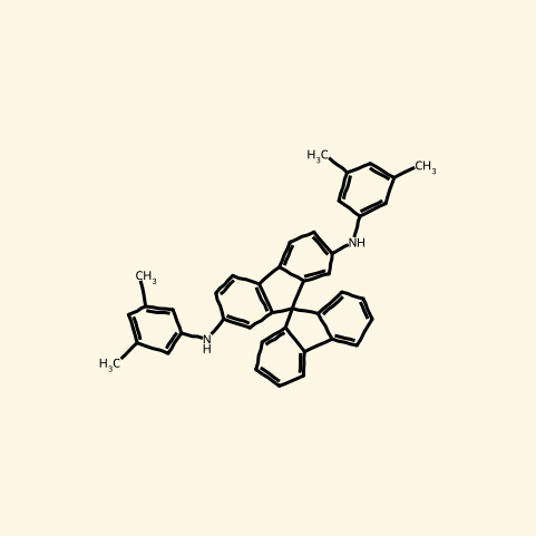 Cc1cc(C)cc(Nc2ccc3c(c2)C2(c4ccccc4-c4ccccc42)c2cc(Nc4cc(C)cc(C)c4)ccc2-3)c1